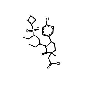 CCC(CN(CC)S(=O)(=O)C1CCC1)N1C(=O)C(C)(CC(=O)O)CCC1c1ccc(Cl)cc1